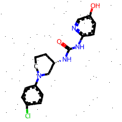 O=C(Nc1ccc(O)cn1)N[C@H]1CCCN(c2ccc(Cl)cc2)C1